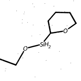 ClCO[SiH2]C1CCCCO1